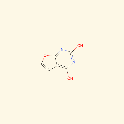 Oc1nc(O)c2ccoc2n1